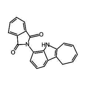 O=C1c2ccccc2C(=O)N1c1cccc2c3c([nH]c12)C=CC=CC3